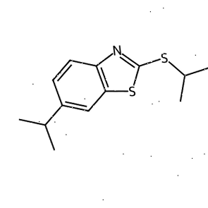 CC(C)Sc1nc2ccc(C(C)C)cc2s1